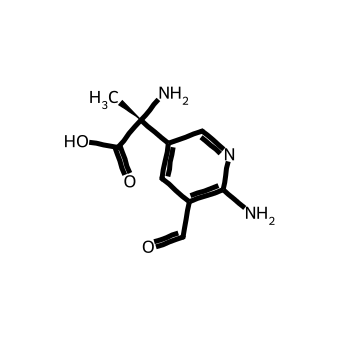 C[C@](N)(C(=O)O)c1cnc(N)c(C=O)c1